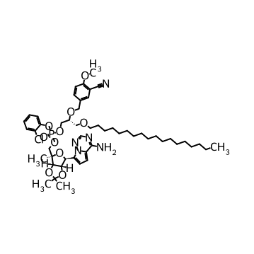 CCCCCCCCCCCCCCCCCCOC[C@H](COP(=O)(OC[C@@]1(C)O[C@@H](c2ccc3c(N)ncnn23)[C@@H]2OC(C)(C)O[C@@H]21)Oc1ccccc1Cl)OCc1ccc(OC)c(C#N)c1